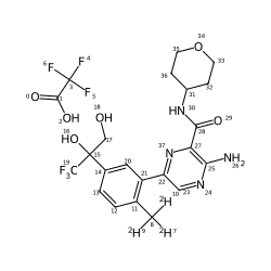 O=C(O)C(F)(F)F.[2H]C([2H])([2H])c1ccc(C(O)(CO)C(F)(F)F)cc1-c1cnc(N)c(C(=O)NC2CCOCC2)n1